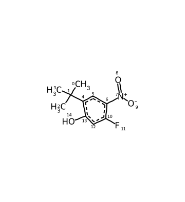 CC(C)(C)c1cc([N+](=O)[O-])c(F)cc1O